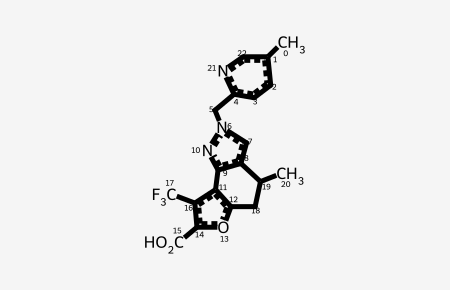 Cc1ccc(Cn2cc3c(n2)-c2c(oc(C(=O)O)c2C(F)(F)F)CC3C)nc1